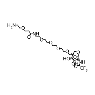 NCCOCCC(=O)NCCOCCOCCOCCOC[C@@]12COC(O1)[C@@H](NC(=O)C(F)(F)F)[C@@H](O)[C@H]2O